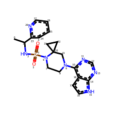 CC(NS(=O)(=O)N1CCN(c2ncnc3[nH]ccc23)CC12CC2)c1ccccn1